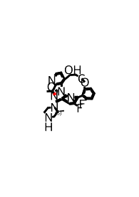 CC(C)c1nccc2c1-n1c(=O)nc(N3CCNC[C@@H]3C)c3cc(F)c(nc31)-c1c(F)cccc1OCCC2O